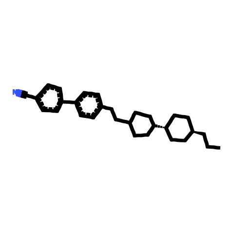 CCC[C@H]1CC[C@H](C2CCC(CCc3ccc(-c4ccc(C#N)cc4)cc3)CC2)CC1